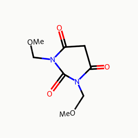 COCN1C(=O)CC(=O)N(COC)C1=O